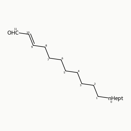 CCCCCCCCCCCCCCCC=CC=O